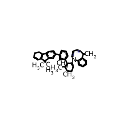 C=C1/C=C\C=C/N(C2=CCC(C)C(C)=C2c2cccc(-c3ccc4c(c3)C(C)(C)C3=C4CCC=C3)c2C)c2ccccc21